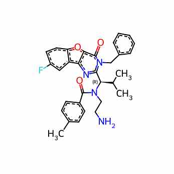 Cc1ccc(C(=O)N(CCN)[C@@H](c2nc3c(oc4ccc(F)cc43)c(=O)n2Cc2ccccc2)C(C)C)cc1